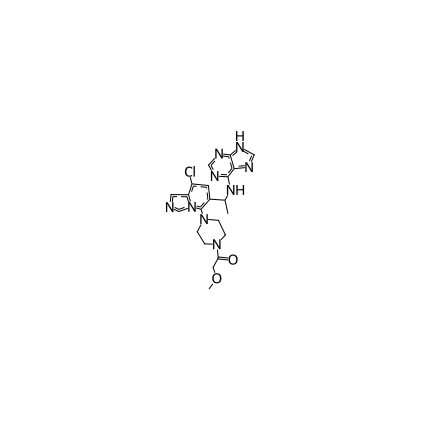 COCC(=O)N1CCN(c2c(C(C)Nc3ncnc4[nH]cnc34)cc(Cl)c3cncn23)CC1